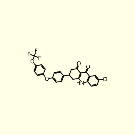 O=C1CC(c2ccc(Oc3ccc(OC(F)(F)F)cc3)cc2)Cc2[nH]c3ccc(Cl)cc3c(=O)c21